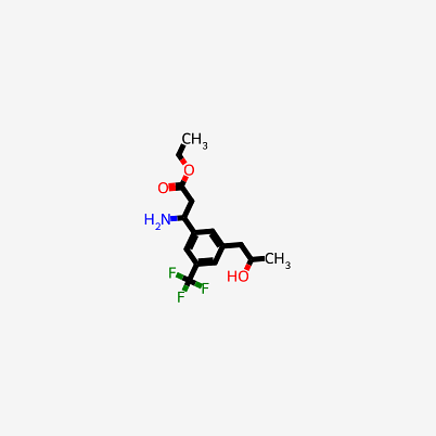 CCOC(=O)CC(N)c1cc(CC(C)O)cc(C(F)(F)F)c1